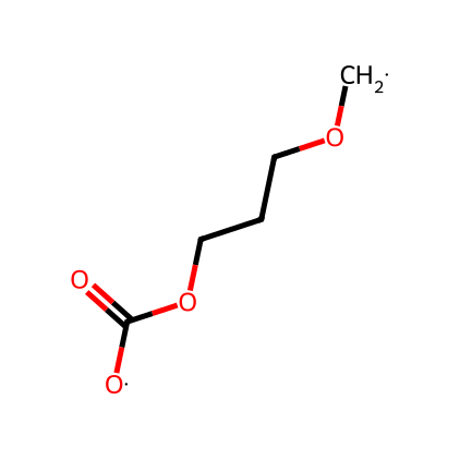 [CH2]OCCCOC([O])=O